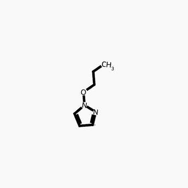 CCCOn1cc[c]n1